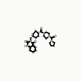 O=C(N1CCCC1)N1CCN(C(=O)[C@H]2CC[C@H](Cn3c(=O)[nH]c4ccccc4c3=O)CC2)CC1